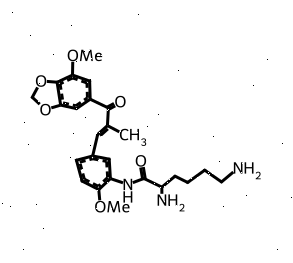 COc1ccc(C=C(C)C(=O)c2cc(OC)c3c(c2)OCO3)cc1NC(=O)C(N)CCCCN